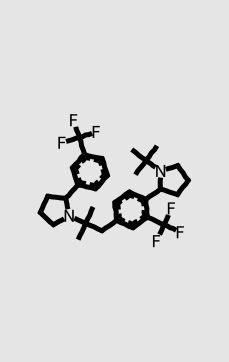 CC(C)(C)N1CCCC1c1ccc(CC(C)(C)N2CCCC2c2cccc(C(F)(F)F)c2)cc1C(F)(F)F